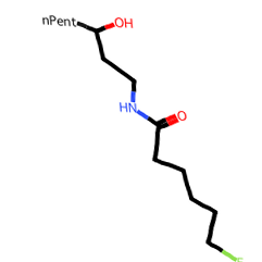 CCCCCC(O)CCNC(=O)CCCCCF